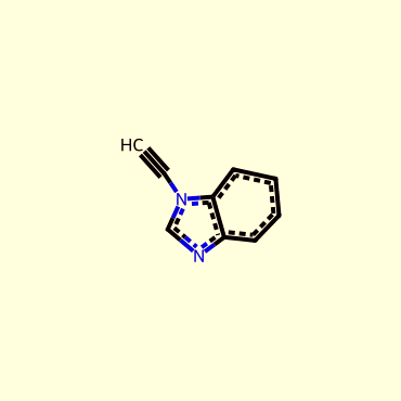 C#Cn1cnc2ccccc21